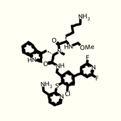 COCN[C@@H](CCCCN)C(=O)N(C)[C@@H](Cc1c[nH]c2ccccc12)C(=O)NCc1cc(-c2cc(F)nc(F)c2)cc(Cl)c1Sc1ncccc1CN